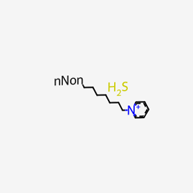 CCCCCCCCCCCCCCCC[n+]1ccccc1.S